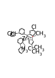 CCCC1C=C(C(C)(C)C)C=[C]1[Zr+2](=[C](c1cccc(Cl)c1)c1cccc(Cl)c1)[c]1cccc2c1Cc1ccccc1-2.[Cl-].[Cl-]